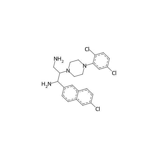 NCC(C(N)c1ccc2cc(Cl)ccc2c1)N1CCN(c2cc(Cl)ccc2Cl)CC1